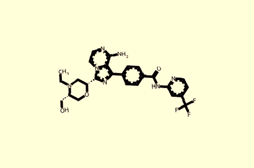 CCN1C[C@H](c2nc(-c3ccc(C(=O)Nc4cc(C(F)(F)F)ccn4)cc3)c3c(N)nccn23)OC[C@@H]1CO